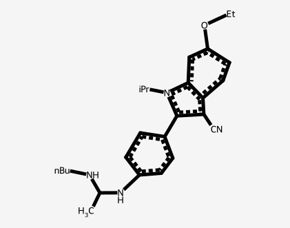 CCCCNC(C)Nc1ccc(-c2c(C#N)c3ccc(OCC)cc3n2C(C)C)cc1